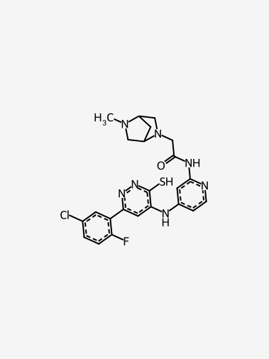 CN1CC2CC1CN2CC(=O)Nc1cc(Nc2cc(-c3cc(Cl)ccc3F)nnc2S)ccn1